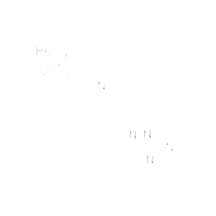 CCN(CCOS(=O)(=O)O)c1ccc(N=Nc2n(C)cc[n+]2C)c(C)c1